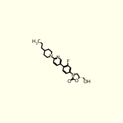 CCCC1CCN(c2ccc(-c3ccc(N4C[C@H](CO)OC4=O)cc3F)cn2)CC1